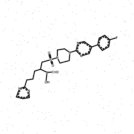 O=CN(O)C(CCCc1ncccn1)CS(=O)(=O)N1CCN(c2ncc(-c3ccc(F)cc3)cn2)CC1